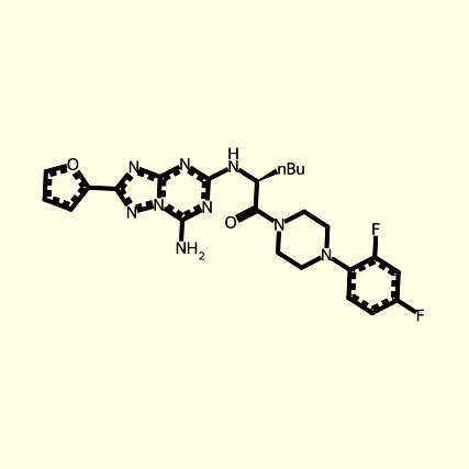 CCCC[C@H](Nc1nc(N)n2nc(-c3ccco3)nc2n1)C(=O)N1CCN(c2ccc(F)cc2F)CC1